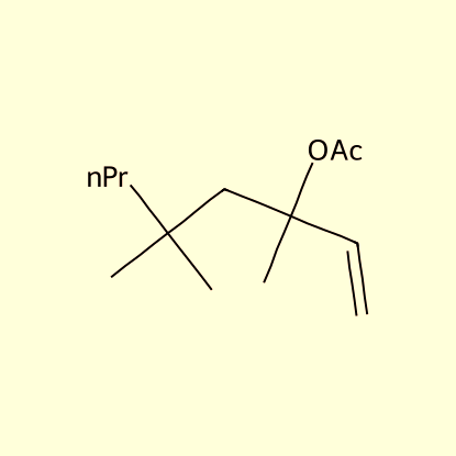 C=CC(C)(CC(C)(C)CCC)OC(C)=O